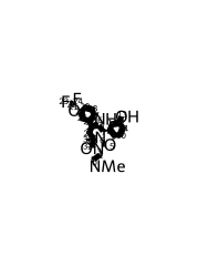 CNCCN1C(=O)N2[C@H](c3cccc(O)c3)c3[nH]c4ccc(OC(F)F)cc4c3C[C@@]2(C)C1=O